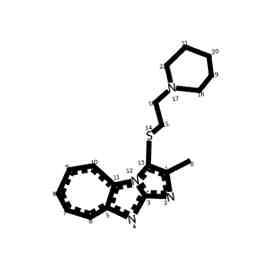 Cc1nc2nc3cccccc3n2c1SCCN1CCCCC1